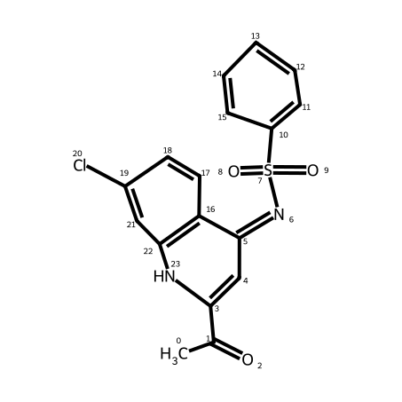 CC(=O)c1c/c(=N/S(=O)(=O)c2ccccc2)c2ccc(Cl)cc2[nH]1